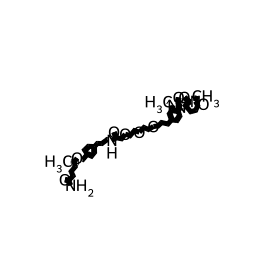 C[C@H](CCCC(N)=O)OCc1ccc(CCCNC(=O)COCCOCCOCCCc2ccc3c(c2)n(C)c(=O)n3[C@H]2CCC(=O)N(C)C2=O)cc1